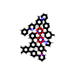 CC1=CC(c2ccc(-c3ccccn3)cc2)=C(c2cc(-c3cc(C)c(C)cc3-c3ccc(-c4ccccc4)nc3)cc(-c3cccc(-c4cc(-c5cc(C)c(C)cc5-c5ccc(-c6ccccn6)cc5)cc(-c5cc(C)c(C)cc5-c5ccc(-c6ccccn6)cc5)c4)c3-c3cnc(-n4cccc4)nc3)c2)CC#C1